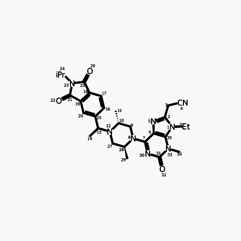 CCn1c(CC#N)nc2c(N3C[C@@H](C)N(C(C)c4ccc5c(c4)C(=O)N(C(C)C)C5=O)C[C@@H]3C)nc(=O)n(C)c21